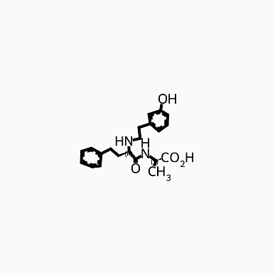 C[C@H](NC(=O)[C@@H](CCc1ccccc1)NCCc1cccc(O)c1)C(=O)O